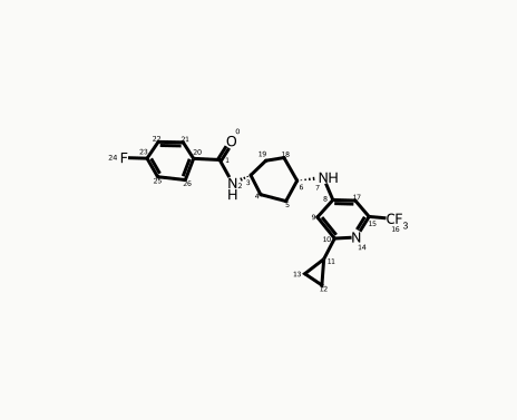 O=C(N[C@H]1CC[C@@H](Nc2cc(C3CC3)nc(C(F)(F)F)c2)CC1)c1ccc(F)cc1